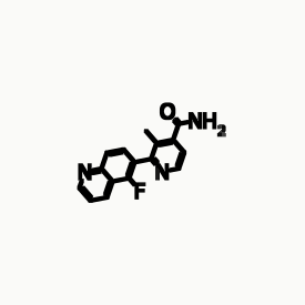 Cc1c(C(N)=O)ccnc1-c1ccc2ncccc2c1F